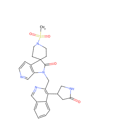 CS(=O)(=O)N1CCC2(CC1)C(=O)N(Cc1ncc3ccccc3c1C1CNC(=O)C1)c1cnccc12